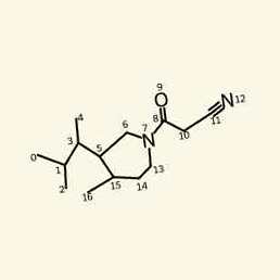 CC(C)C(C)C1CN(C(=O)CC#N)CCC1C